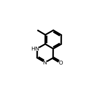 Cc1cccc2c(=O)nc[nH]c12